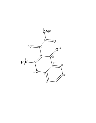 COC(=O)C(=O)c1c(N)oc2ccccc2c1=O